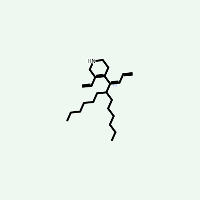 C=C/C=C(\C1=C(C=C)CNCC1)C(CCCCCC)CCCCCC